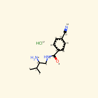 CC(C)C(N)CNC(=O)c1ccc(C#N)cc1.Cl